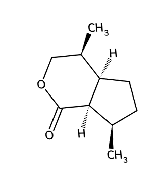 C[C@@H]1COC(=O)[C@H]2[C@@H]1CC[C@H]2C